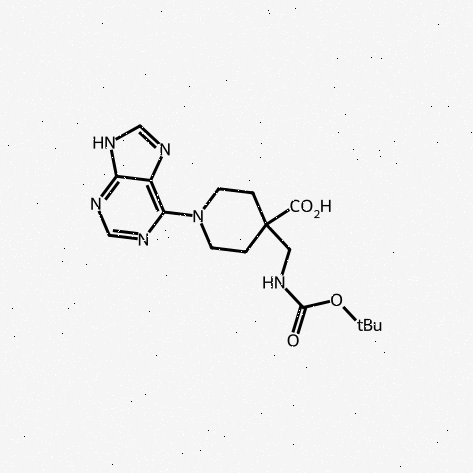 CC(C)(C)OC(=O)NCC1(C(=O)O)CCN(c2ncnc3[nH]cnc23)CC1